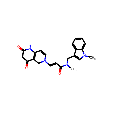 CN(Cc1cn(C)c2ccccc12)C(=O)/C=C/N1C=CC2=C(C1)C(=O)CC(=O)N2